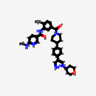 Cc1ccc(C(=O)N2CCC(c3ccc(/C(C=N)=C/NC4CCOCC4)cc3)CC2)cc1NC(=O)c1ccc(NC(C)C)nc1